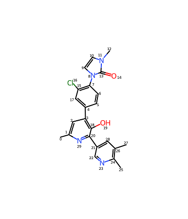 Cc1cc(-c2ccc(-n3ccn(C)c3=O)c(Cl)c2)c(O)c(-c2cnc(C)c(C)c2)n1